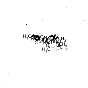 CCOC(=O)c1nc(Sc2ccn3cc(C)nc3c2Cl)c(C)nc1N1CCC2(CC1)CO[C@@H](C)[C@H]2NC(=O)OC(C)(C)C